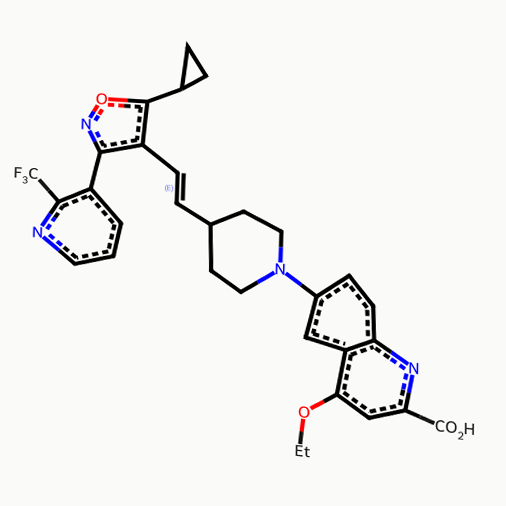 CCOc1cc(C(=O)O)nc2ccc(N3CCC(/C=C/c4c(-c5cccnc5C(F)(F)F)noc4C4CC4)CC3)cc12